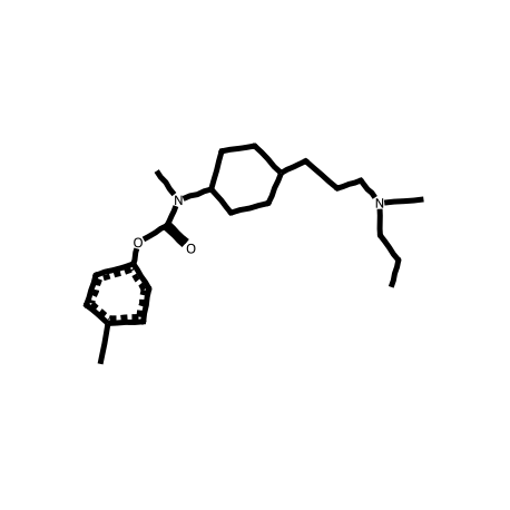 CCCN(C)CCCC1CCC(N(C)C(=O)Oc2ccc(C)cc2)CC1